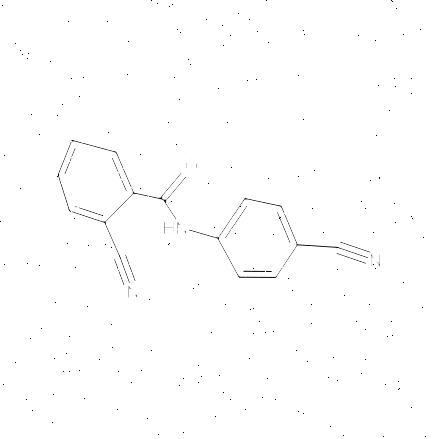 N#Cc1ccc(NC(=O)c2ccccc2C#N)cc1